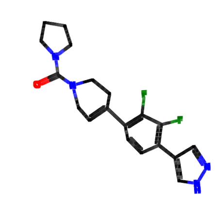 O=C(N1CC=C(c2ccc(-c3cn[nH]c3)c(F)c2F)CC1)N1CCCC1